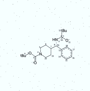 CC(C)(C)OC(=O)N1CCC([C@H](N[S+]([O-])C(C)(C)C)c2ccccc2)CC1